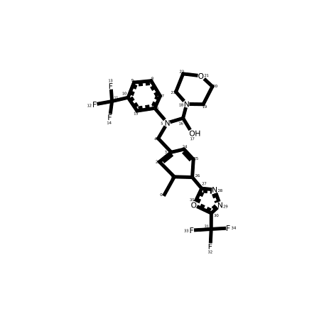 CC1C=C(CN(c2cccc(C(F)(F)F)c2)C(O)N2CCOCC2)C=CC1c1nnc(C(F)(F)F)o1